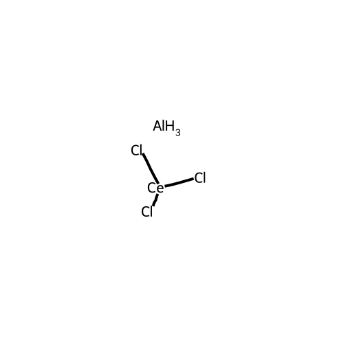 [AlH3].[Cl][Ce]([Cl])[Cl]